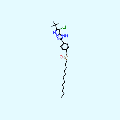 CCCCCCCCCCCC[S+]([O-])Cc1ccc(-c2nn3nc(C(C)(C)C)c(Cl)c3[nH]2)cc1